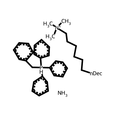 CCCCCCCCCCCCCCCC[N+](C)(C)C.N.c1ccc(C[PH](c2ccccc2)(c2ccccc2)c2ccccc2)cc1